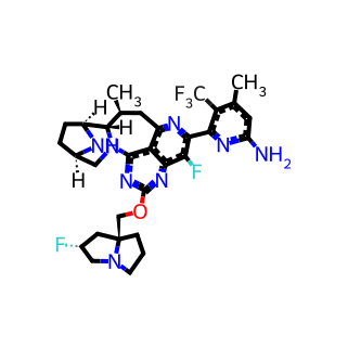 Cc1cc(N)nc(-c2nc3c4c(nc(OC[C@@]56CCCN5C[C@H](F)C6)nc4c2F)N2C[C@H]4CC[C@H](N4)[C@@H]2[C@@H](C)C3)c1C(F)(F)F